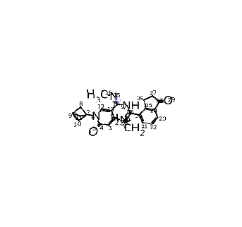 C=Nc1cc(=O)n(C23CC(C2)C3)cc1/C(=N\C)N[C@H](C)c1cccc2c1CCC2=O